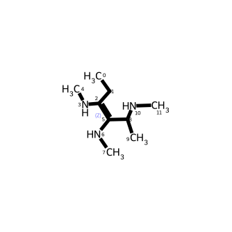 CC/C(NC)=C(/NC)C(C)NC